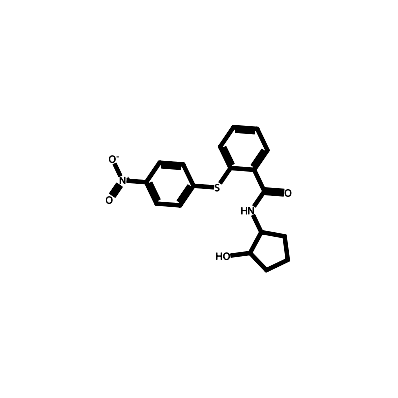 O=C(NC1CCCC1O)c1ccccc1Sc1ccc([N+](=O)[O-])cc1